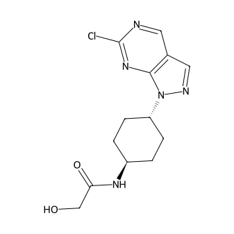 O=C(CO)N[C@H]1CC[C@H](n2ncc3cnc(Cl)nc32)CC1